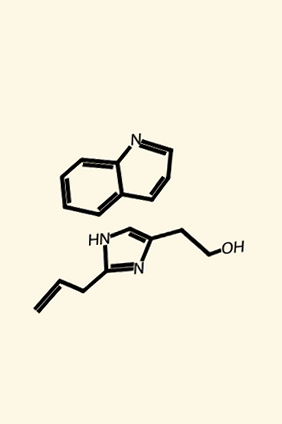 C=CCc1nc(CCO)c[nH]1.c1ccc2ncccc2c1